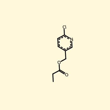 CCC(=O)OCc1ccc(Cl)nc1